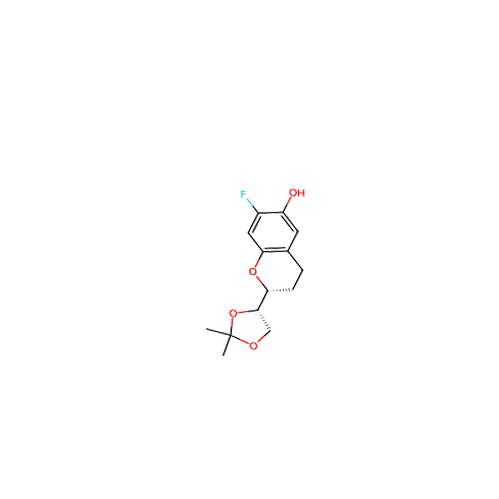 CC1(C)OC[C@@H]([C@H]2CCc3cc(O)c(F)cc3O2)O1